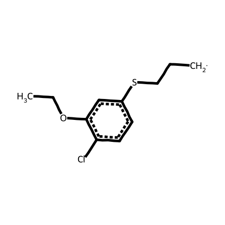 [CH2]CCSc1ccc(Cl)c(OCC)c1